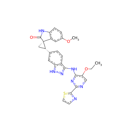 CCOc1cnc(-c2nccs2)nc1Nc1n[nH]c2cc([C@@H]3C[C@@]34C(=O)Nc3ccc(OC)cc34)ccc12